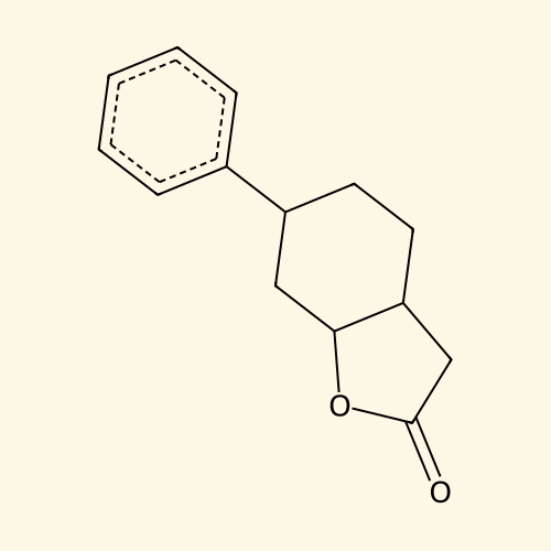 O=C1CC2CCC(c3ccccc3)CC2O1